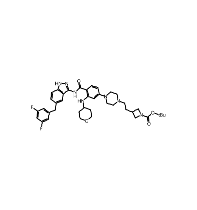 CC(C)(C)OC(=O)N1CC(CCN2CCN(c3ccc(C(=O)Nc4n[nH]c5ccc(Cc6cc(F)cc(F)c6)cc45)c(NC4CCOCC4)c3)CC2)C1